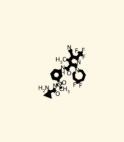 Cc1c(C#N)c(C(F)(F)F)nc(N2CCCC(F)(F)CC2)c1C(=O)Nc1cccc(S(C)(=O)=NC(=O)C2(N)CC2)c1